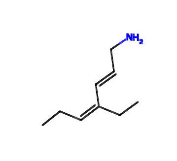 CCC=C(C=CCN)CC